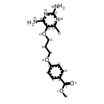 COC(=O)c1ccc(OCCCOc2c(C)nc(N)nc2N)cc1